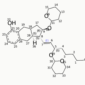 CCCCC[C@@H](/C=C/[C@H]1[C@H](OC2CCCCO2)CC2Cc3c(O)cccc3C[C@@H]21)OC1CCCCO1